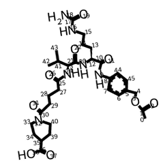 CC(=O)OCc1ccc(NC(=O)[C@H](CCCNC(N)=O)NC(=O)[C@@H](NC(=O)CCCC(=O)N2CCC(C(=O)O)CC2)C(C)C)cc1